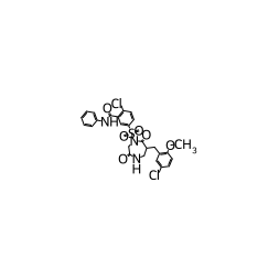 COc1ccc(Cl)cc1CC1CNC(=O)CN(S(=O)(=O)c2ccc(Cl)c(C(=O)Nc3ccccc3)c2)C1=O